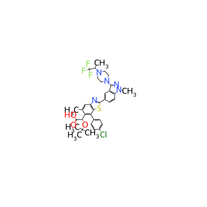 Cc1cc2nc(-c3ccc4c(c3)c(N3CCN(C(C)C(F)(F)F)CC3)nn4C)sc2c(-c2ccc(Cl)cc2)c1[C@H](OC(C)(C)C)C(=O)O